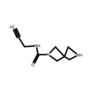 C#CCNC(=O)N1CC2(CNC2)C1